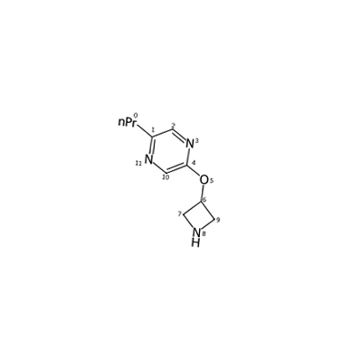 CCCc1cnc(OC2CNC2)cn1